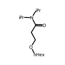 CCCCCCOCCC(=O)N(C(C)C)C(C)C